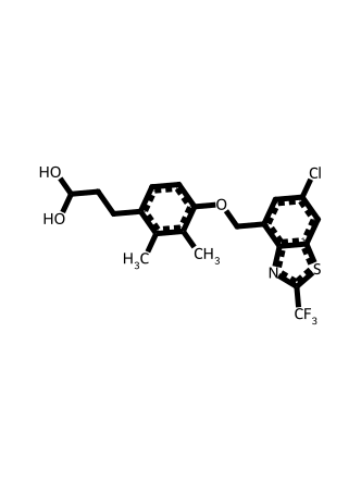 Cc1c(CCC(O)O)ccc(OCc2cc(Cl)cc3sc(C(F)(F)F)nc23)c1C